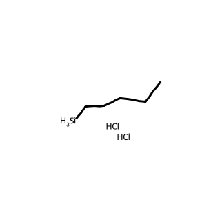 CCCCC[SiH3].Cl.Cl